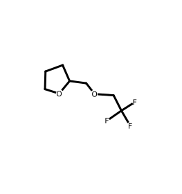 FC(F)(F)COCC1CCCO1